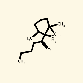 CCCCC(=O)C1(C)C(C)CCCC1(C)C